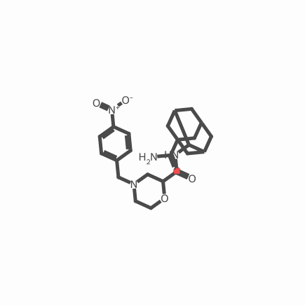 NC(=O)C12CC3CC(C1)C(NC(=O)C1CN(Cc4ccc([N+](=O)[O-])cc4)CCO1)C(C3)C2